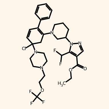 CCOC(=O)c1cnn(C2CCCN(C3=C(c4ccccc4)C=CC(Cl)(N4CCN(CCOC(F)(F)F)CC4)C3)C2)c1C(F)F